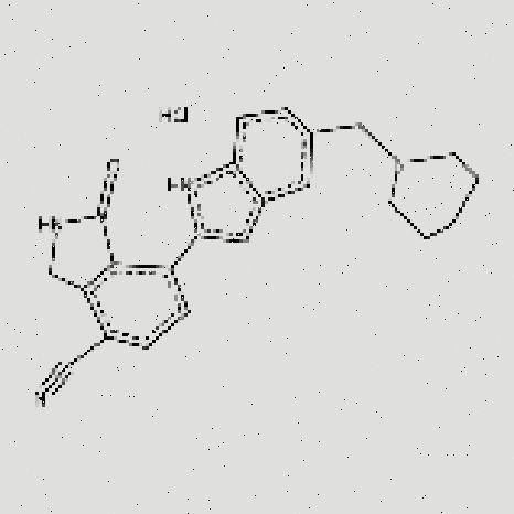 Cl.N#Cc1ccc(-c2cc3cc(CN4CCCCC4)ccc3[nH]2)c2c1CNC2=O